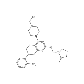 CN1CCC[C@H]1COc1nc2c(c(N3CCN(CC#N)CC3)n1)CCN(c1ccccc1C(F)(F)F)C2